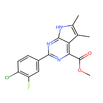 COC(=O)c1nc(-c2ccc(Cl)c(F)c2)nc2[nH]c(C)c(C)c12